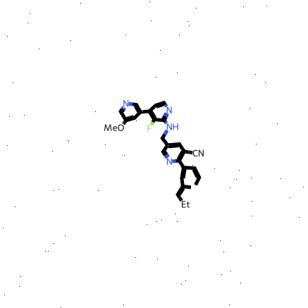 C\C=C/C(=C\C(C)=C\CC)c1ncc(CNc2nccc(-c3cncc(OC)c3)c2F)cc1C#N